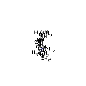 CC(C)COC(=O)C(C)(C)O/N=C(\C(=O)NC1C(=O)N2C[C@@](C(=O)O)(n3cc(CNC(=O)OC(C)(C)C)nn3)S[C@H]12)c1csc(N)n1